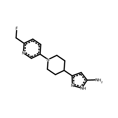 Nc1cc(C2CCN(c3ccc(CF)nc3)CC2)n[nH]1